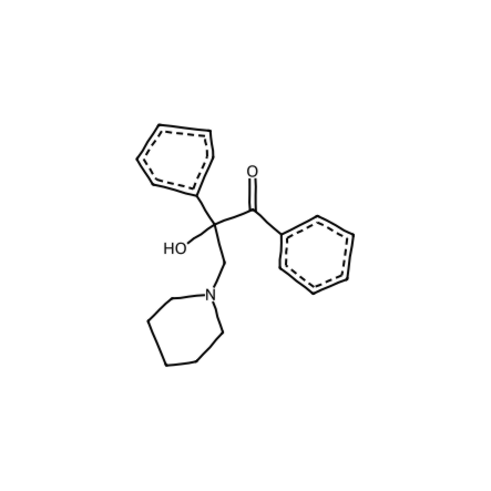 O=C(c1ccccc1)C(O)(CN1CCCCC1)c1ccccc1